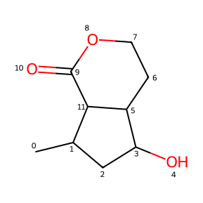 CC1CC(O)C2CCOC(=O)C12